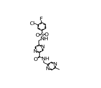 Cc1cnc(CNC(=O)c2cnc(CNS(=O)(=O)c3ccc(F)c(Cl)c3)cn2)cn1